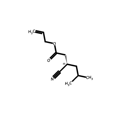 C=CCOC(=O)C[C@@H](C#N)CC(C)C